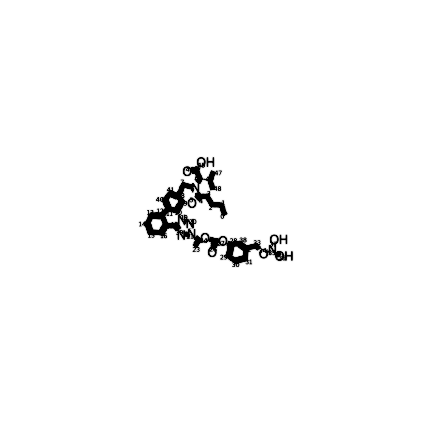 CCCCC(=O)N(Cc1ccc(-c2ccccc2-c2nnn(C(C)OC(=O)Oc3cccc(CON(O)O)c3)n2)cc1)[C@H](C(=O)O)C(C)C